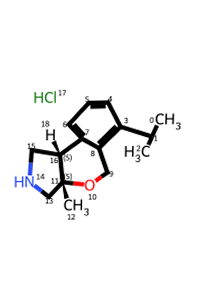 CC(C)c1cccc2c1CO[C@]1(C)CNC[C@H]21.Cl